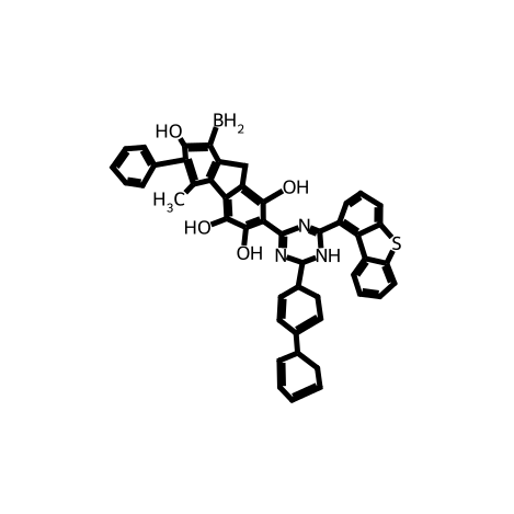 Bc1c(O)c(-c2ccccc2)c(C)c2c1Cc1c(O)c(C3=NC(C4C=CC(C5C=CC=CC5)=CC4)NC(c4cccc5sc6ccccc6c45)=N3)c(O)c(O)c1-2